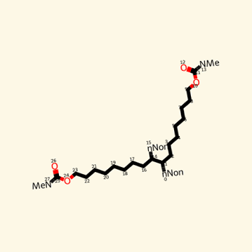 CCCCCCCCCC(CCCCCCCCOC(=O)NC)C(CCCCCCCCC)CCCCCCCCOC(=O)NC